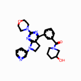 O=C(c1cccc(-c2nc(N3CCOCC3)nc3c2CCN3c2cccnc2)c1)N1CCCC(O)C1